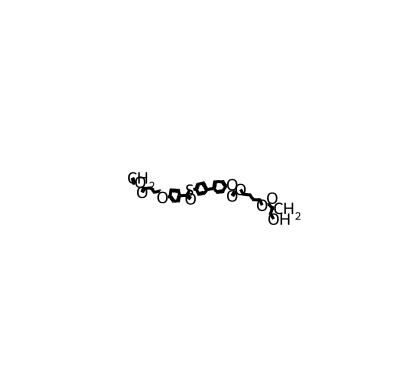 C=COC(=O)CCCOc1ccc(C(=O)Sc2ccc(-c3ccc(OC(=O)OCCCCOC(=O)C(=C)CO)cc3)cc2)cc1